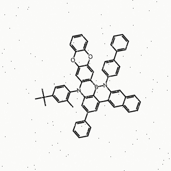 Cc1cc(C(C)(C)C)ccc1N1c2cc3c(cc2B2c4c(cc(-c5ccccc5)cc41)-c1cc4ccccc4cc1N2c1ccc(-c2ccccc2)cc1)Oc1ccccc1O3